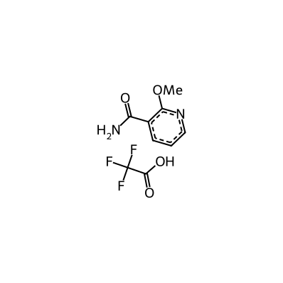 COc1ncccc1C(N)=O.O=C(O)C(F)(F)F